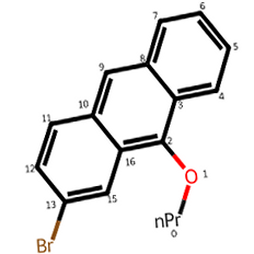 CCCOc1c2ccccc2cc2ccc(Br)cc12